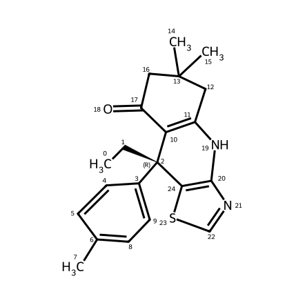 CC[C@@]1(c2ccc(C)cc2)C2=C(CC(C)(C)CC2=O)Nc2ncsc21